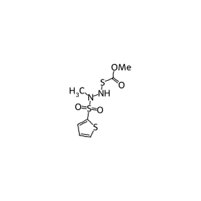 COC(=O)SNN(C)S(=O)(=O)c1cccs1